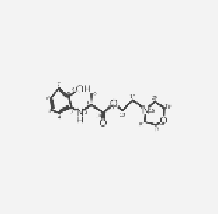 C[C@H](Nc1ccccc1O)C(=O)OCCN1CCOCC1